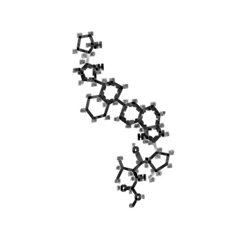 COC(=O)N[C@H](C(=O)N1[C@@H](C)CC[C@H]1c1nc2ccc3cc(-c4ccc(-c5cnc([C@@H]6CCCN6)[nH]5)c5c4CCCC5)ccc3c2[nH]1)C(C)C